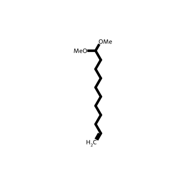 C=CCCCCCCCCC(OC)OC